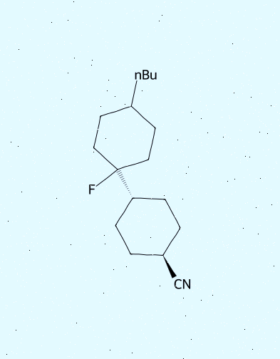 CCCCC1CCC(F)([C@H]2CC[C@H](C#N)CC2)CC1